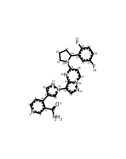 NC(=O)c1cnccc1-c1cnn(-c2cnn3ccc(N4CCCC4c4cc(F)ccc4F)nc23)c1